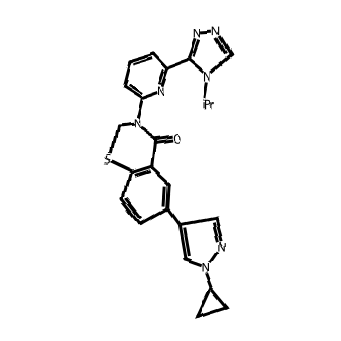 CC(C)n1cnnc1-c1cccc(N2CSc3ccc(-c4cnn(C5CC5)c4)cc3C2=O)n1